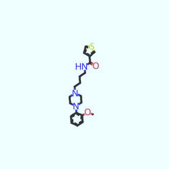 COc1ccccc1N1CCN(CCCCNC(=O)c2ccsc2)CC1